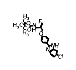 CC(C)(C)OC(=O)NC/C(=C\F)COc1ccc(-c2nc3ccc(Cl)cc3[nH]2)cc1